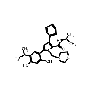 CC(C)NC(=O)c1c(-c2ccccc2)cc(-c2cc(C(C)C)c(O)cc2O)n1CN1CCOCC1